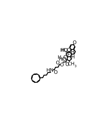 C[C@@H]1C[C@H]2[C@@H]3CCC4=CC(=O)C=C[C@]4(C)[C@@]3(F)[C@@H](O)C[C@]2(C)[C@@]1(O)C(=O)COC(=O)CCC(=O)NCCCCCc1ccccccccc1